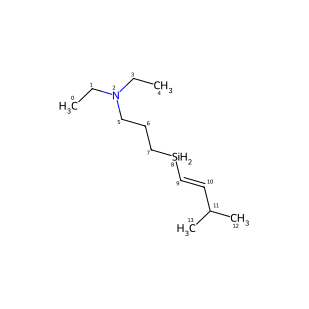 CCN(CC)CCC[SiH2]C=CC(C)C